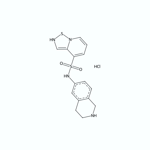 Cl.O=S(=O)(Nc1ccc2c(c1)CCNC2)C1=CC=CN2SNC=C12